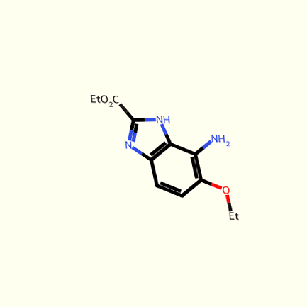 CCOC(=O)c1nc2ccc(OCC)c(N)c2[nH]1